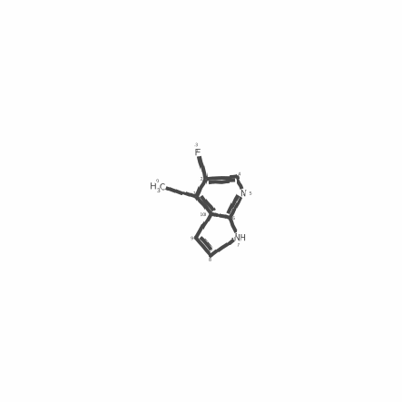 Cc1c(F)cnc2[nH]ccc12